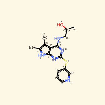 CCc1[nH]c2nc(Sc3cccnc3)nc(NC[C@H](C)O)c2c1C(C)=O